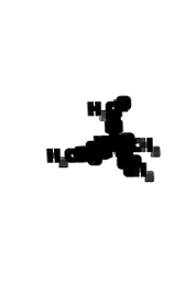 CC(=O)O[C@@H]1C[C@H](c2nc(-c3ccc(OCC4(C)COC4)cc3)c3cnc4c(ccn4S(=O)(=O)c4ccc(C)cc4)n23)N(C(C)=O)C1